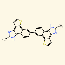 Cc1nc2c3ccsc3c3cc(-c4ccc5c(c4)c4sccc4c4nc(C)[nH]c54)ccc3c2[nH]1